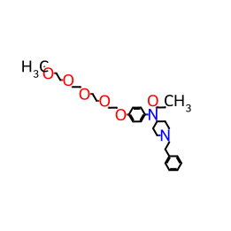 CCC(=O)N(c1ccc(OCCOCCOCCOCCOC)cc1)C1CCN(CCc2ccccc2)CC1